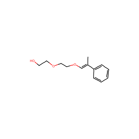 CC(=COCCOCCO)c1ccccc1